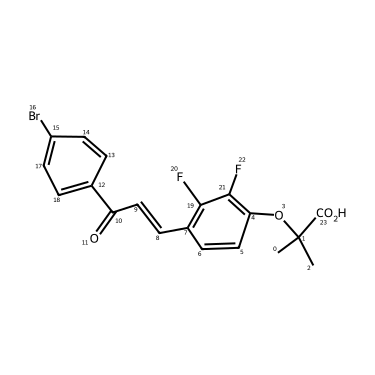 CC(C)(Oc1ccc(/C=C/C(=O)c2ccc(Br)cc2)c(F)c1F)C(=O)O